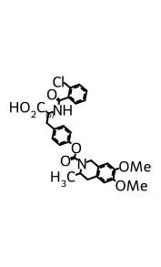 COc1cc2c(cc1OC)CN(C(=O)Oc1ccc(C[C@H](NC(=O)c3ccccc3Cl)C(=O)O)cc1)C(C)C2